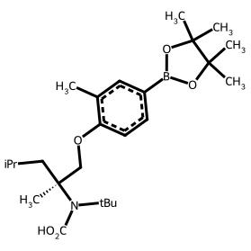 Cc1cc(B2OC(C)(C)C(C)(C)O2)ccc1OC[C@](C)(CC(C)C)N(C(=O)O)C(C)(C)C